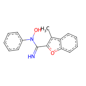 Cc1c(C(=N)N(O)c2ccccc2)oc2ccccc12